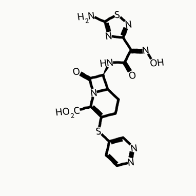 Nc1nc(/C(=N/O)C(=O)N[C@@H]2C(=O)N3C(C(=O)O)=C(Sc4ccnnc4)CCC23)ns1